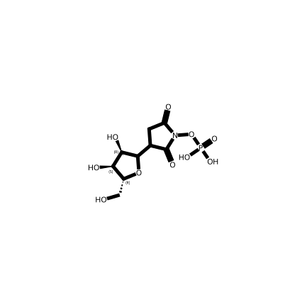 O=C1CC(C2O[C@H](CO)[C@@H](O)[C@H]2O)C(=O)N1OP(=O)(O)O